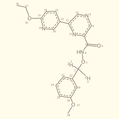 [2H]C([2H])(ONC(=O)c1cncc(-c2ccc(OCC)nc2)n1)c1cccc(OC)c1